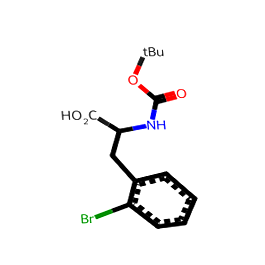 CC(C)(C)OC(=O)NC(Cc1ccccc1Br)C(=O)O